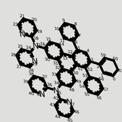 C1=CC(c2cc(-c3ccccc3)c3c4ccc(N(c5ccccn5)c5ccccn5)cc4c4cc(N(c5ccccn5)c5ccccn5)ccc4c3c2-c2ccccc2)=CCC1